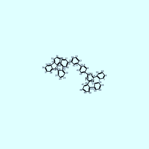 c1ccc(-c2nc(-c3ccc(-c4cccc(-c5cccc(-c6ccccc6-n6c7ccccc7c7ccccc76)c5)c4)cc3)nc(-c3ccccc3-c3ccccc3)n2)cc1